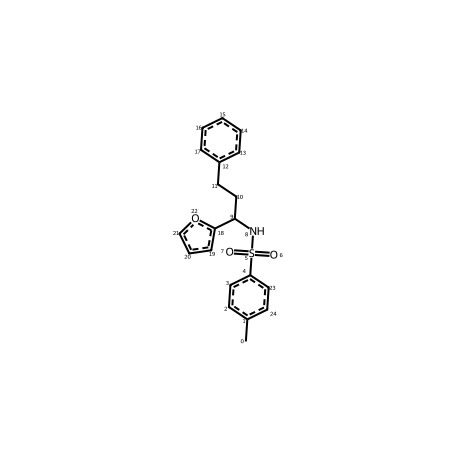 Cc1ccc(S(=O)(=O)NC(CCc2ccccc2)c2ccco2)cc1